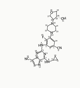 N#Cc1cc(Nc2nc(NC3CC3)c3ncc(C#N)n3n2)c(F)c(N2CCN(C3COC[C@@H]3O)CC2)c1